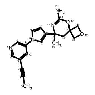 CC#Cc1cncc(-n2ccc(C3(C)CC4(COC4)OC(N)=N3)c2)c1